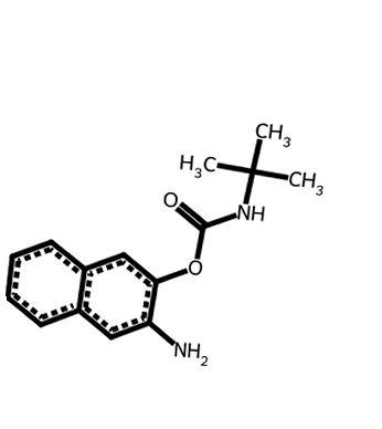 CC(C)(C)NC(=O)Oc1cc2ccccc2cc1N